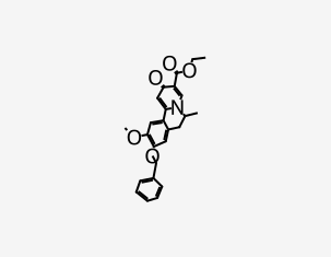 CCOC(=O)c1cn2c(cc1=O)-c1cc(OC)c(OCc3ccccc3)cc1CC2C